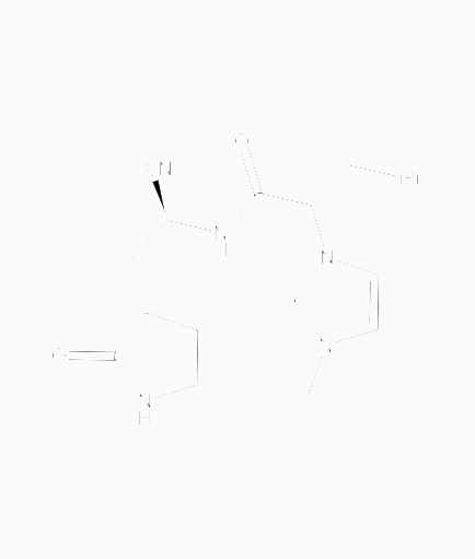 CC(C)C[C@@H](C(=O)N[C@H](C#N)C[C@@H]1CCNC1=O)N1C=CN(C)C1